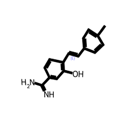 Cc1ccc(/C=C/c2ccc(C(=N)N)cc2O)cc1